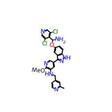 COc1ncc(-c2n[nH]c3ccc(O[C@H](N)c4c(Cl)cncc4Cl)cc23)cc1NCc1ccnc(C)c1